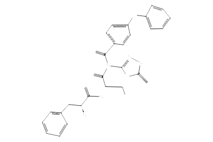 CC(C)[C@H](NC(=O)[C@@H](N)Cc1ccccc1)C(=O)N(C(=O)c1ccc(Oc2ccccc2)cc1)c1n[nH]c(=S)s1